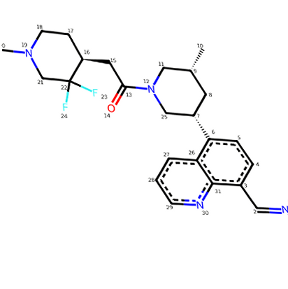 C/N=C/c1ccc([C@H]2C[C@@H](C)CN(C(=O)C[C@@H]3CCN(C)CC3(F)F)C2)c2cccnc12